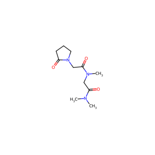 CN(C)C(=O)CN(C)C(=O)CN1CCCC1=O